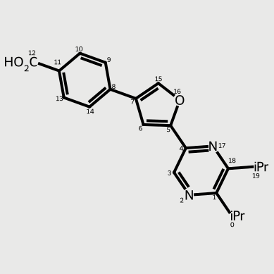 CC(C)c1ncc(-c2cc(-c3ccc(C(=O)O)cc3)co2)nc1C(C)C